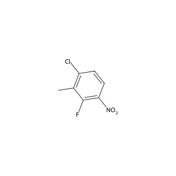 Cc1c(Cl)ccc([N+](=O)[O-])c1F